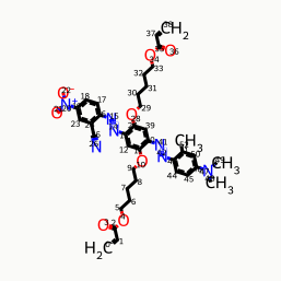 C=CC(=O)OCCCCCOc1cc(/N=N/c2ccc([N+](=O)[O-])cc2C#N)c(OCCCCCOC(=O)C=C)cc1/N=N/c1ccc(N(C)C)cc1C